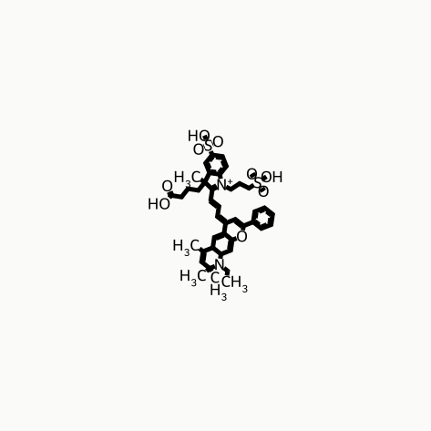 CCN1C2C=C3OC(c4ccccc4)=C/C(=C\C=C\C4=[N+](CCCS(=O)(=O)O)c5ccc(S(=O)(=O)O)cc5C4(C)CCCC(=O)O)C3=CC2C(C)=CC1(C)C